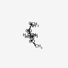 CCCCOC(=O)OC[C@@](O)(C(=O)O)C(C)(C)COS(=O)(=O)CCCNC(C)=O